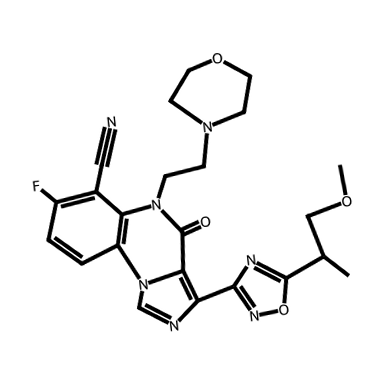 COCC(C)c1nc(-c2ncn3c2c(=O)n(CCN2CCOCC2)c2c(C#N)c(F)ccc23)no1